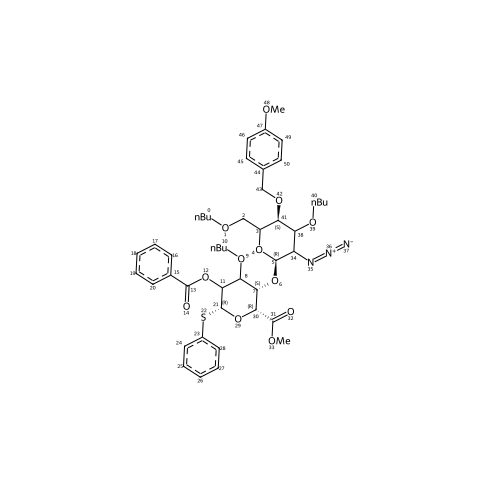 CCCCOCC1O[C@H](O[C@H]2C(OCCCC)C(OC(=O)c3ccccc3)[C@@H](Sc3ccccc3)O[C@H]2C(=O)OC)C(N=[N+]=[N-])C(OCCCC)[C@@H]1OCc1ccc(OC)cc1